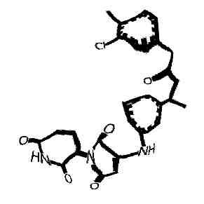 Cc1ccc(CC(=O)CC(C)c2cccc(NC3=CC(=O)N(C4CCC(=O)NC4=O)C3=O)c2)cc1Cl